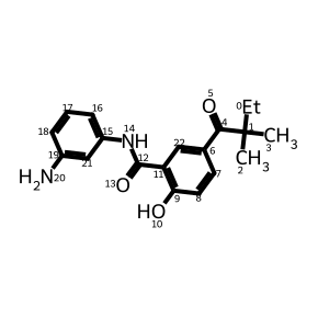 CCC(C)(C)C(=O)c1ccc(O)c(C(=O)Nc2cccc(N)c2)c1